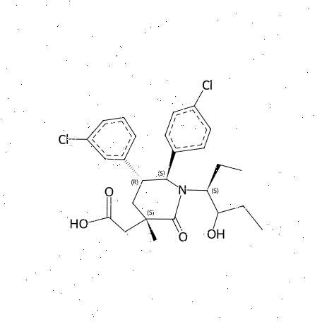 CCC(O)[C@H](CC)N1C(=O)[C@](C)(CC(=O)O)C[C@H](c2cccc(Cl)c2)[C@H]1c1ccc(Cl)cc1